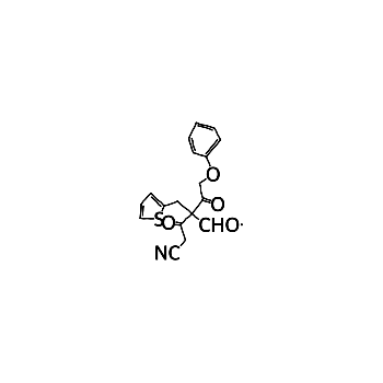 N#CCC(=O)C([C]=O)(Cc1cccs1)C(=O)COc1ccccc1